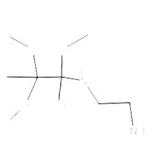 COC([SiH3])(NCCN)C(C)(OC)OC